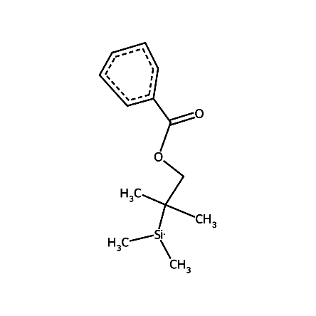 C[Si](C)C(C)(C)COC(=O)c1ccccc1